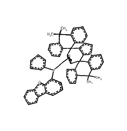 CC1(C)c2ccccc2C2(c3ccccc31)c1cc(N(c3ccccc3)c3cccc4c3oc3ccccc34)sc1C1(c3ccccc3C(C)(C)c3ccccc31)c1ccsc12